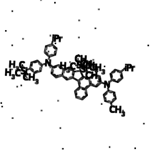 Cc1ccc(N(c2ccc(C(C)C)cc2)c2ccc3c4c(c5ccccc5c3c2)-c2cc3ccc(N(c5ccc(C(C)C)cc5)c5ccc([Si](C)(C)C)cc5)cc3cc2C4([Si](C)(C)C)[Si](C)(C)C)cc1